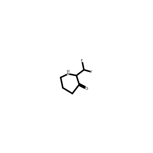 O=C1CCCNC1C(F)F